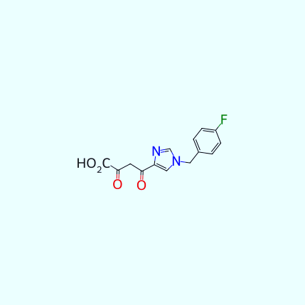 O=C(O)C(=O)CC(=O)c1cn(Cc2ccc(F)cc2)cn1